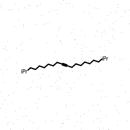 CC(C)CCCCCCCC#CCCCCCCCC(C)C